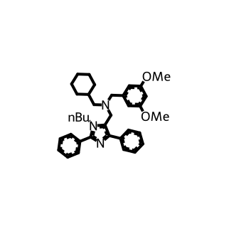 CCCCn1c(-c2ccccc2)nc(-c2ccccc2)c1CN(Cc1cc(OC)cc(OC)c1)CC1CCCCC1